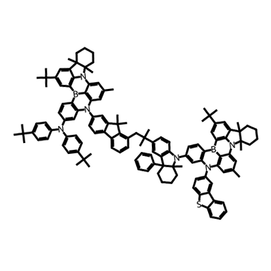 Cc1cc2c3c(c1)N1c4c(cc(C(C)(C)C)cc4C4(C)CCCCC14C)B3c1ccc(N(c3ccc(C(C)(C)C)cc3)c3ccc(C(C)(C)C)cc3)cc1N2c1ccc2c(c1)C(C)(C)c1c(CC(C)(C)c3ccc4c(c3)C3(c5ccccc5)CCCCC3(C)N4c3ccc4c(c3)N(c3ccc5sc6ccccc6c5c3)c3cc(C)cc5c3B4c3cc(C(C)(C)C)cc4c3N5C3(C)CCCCC43C)cccc1-2